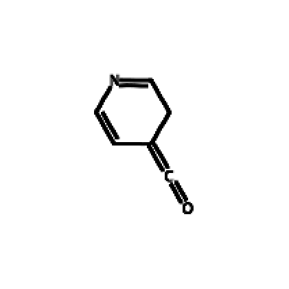 O=C=C1C=CN=CC1